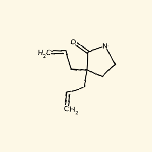 C=CCC1(CC=C)CC[N]C1=O